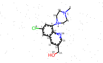 CN1CCN(c2cc(Cl)cc3cc(CO)cnc23)CC1